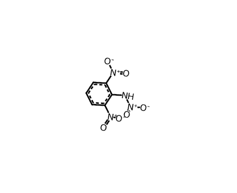 O=[N+]([O-])Nc1c([N+](=O)[O-])cccc1[N+](=O)[O-]